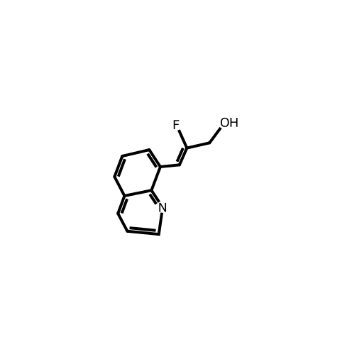 OCC(F)=Cc1cccc2cccnc12